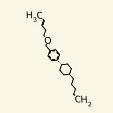 C=CCCC[C@H]1CC[C@H](c2ccc(COCC/C=C/C)cc2)CC1